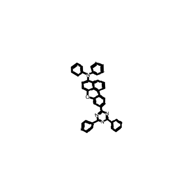 c1ccc(-c2nc(-c3ccccc3)nc(-c3ccc4c(c3)Oc3ccc(N(c5ccccc5)c5ccccc5)c5cccc-4c35)n2)cc1